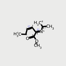 CC/C=C\C(=N/C(C)C)C(=O)OC